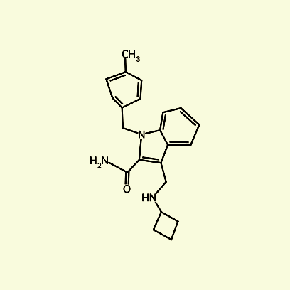 Cc1ccc(Cn2c(C(N)=O)c(CNC3CCC3)c3ccccc32)cc1